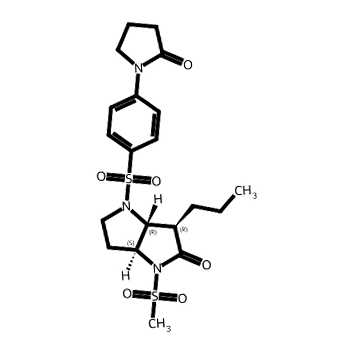 CCC[C@H]1C(=O)N(S(C)(=O)=O)[C@H]2CCN(S(=O)(=O)c3ccc(N4CCCC4=O)cc3)[C@H]12